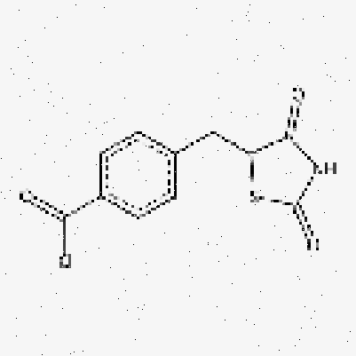 O=C1NC(=O)C(Cc2ccc(C(=O)Cl)cc2)S1